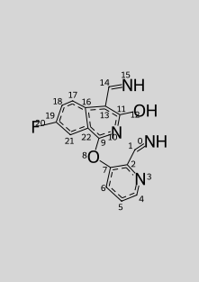 N=Cc1ncccc1Oc1nc(O)c(C=N)c2ccc(F)cc12